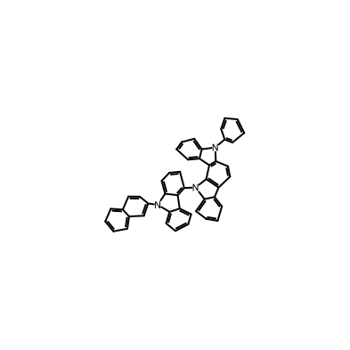 c1ccc(-n2c3ccccc3c3c2ccc2c4ccccc4n(-c4cccc5c4c4ccccc4n5-c4ccc5ccccc5c4)c23)cc1